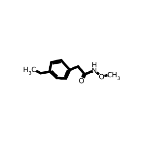 CCc1ccc(CC(=O)NOC)cc1